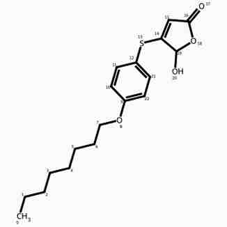 CCCCCCCCOc1ccc(SC2=CC(=O)OC2O)cc1